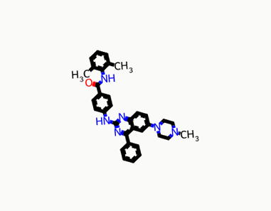 Cc1cccc(C)c1NC(=O)c1ccc(Nc2nc(-c3ccccc3)c3cc(N4CCN(C)CC4)ccc3n2)cc1